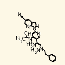 CC(C)Nc1cc(-n2ncc3cc(C#N)cnc32)ncc1/C(N)=C/N(N)CCc1ccccc1